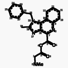 CNCC(=O)OC(=O)c1nc2ccccc2c2c1nc(C)n2Cc1ccccc1